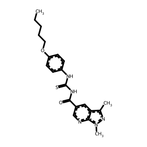 CCCCCOc1ccc(NC(=S)NC(=O)c2cnc3c(c2)c(C)nn3C)cc1